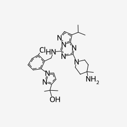 CC(C)c1cnn2c(NCc3c(Cl)cccc3-n3ccc(C(C)(C)O)n3)nc(N3CCC(C)(N)CC3)nc12